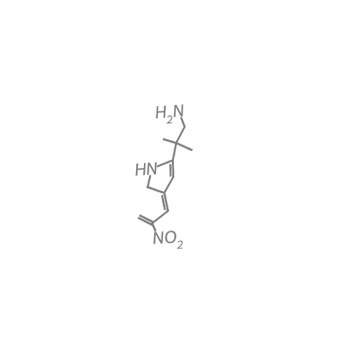 C=C(/C=C1/C=C(C(C)(C)CN)NC1)[N+](=O)[O-]